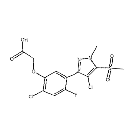 Cn1nc(-c2cc(OCC(=O)O)c(Cl)cc2F)c(Cl)c1S(C)(=O)=O